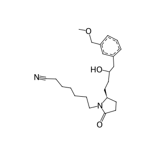 COCc1cccc(CC(O)CC[C@H]2CCC(=O)N2CCCCCCC#N)c1